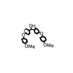 COc1ccc(Oc2ccc(C(O)c3ccc(Oc4ccc(OC)cc4)cc3)cc2)cc1